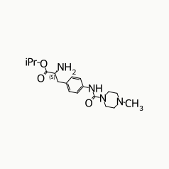 CC(C)OC(=O)[C@@H](N)Cc1ccc(NC(=O)N2CCN(C)CC2)cc1